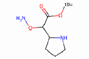 CC(C)(C)OC(=O)C(ON)C1CCCN1